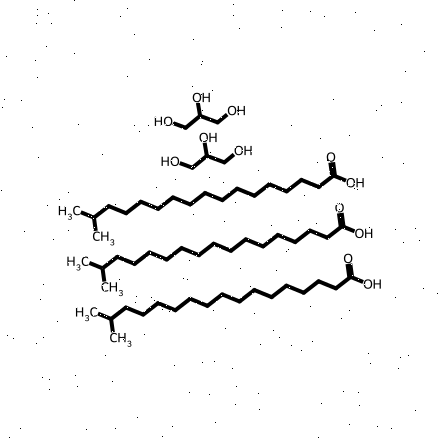 CC(C)CCCCCCCCCCCCCCC(=O)O.CC(C)CCCCCCCCCCCCCCC(=O)O.CC(C)CCCCCCCCCCCCCCC(=O)O.OCC(O)CO.OCC(O)CO